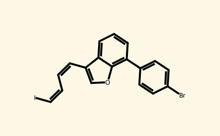 Brc1ccc(-c2cccc3c(/C=C\C=C/I)coc23)cc1